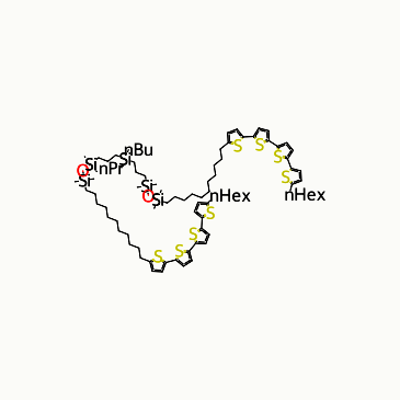 CCCCCCc1ccc(-c2ccc(-c3ccc(-c4ccc(CCCCCCCCCCC[Si](C)(C)O[Si](C)(C)CCC[Si](CCC)(CCCC)CCC[Si](C)(C)O[Si](C)(C)CCCCCCCCCCCc5ccc(-c6ccc(-c7ccc(-c8ccc(CCCCCC)s8)s7)s6)s5)s4)s3)s2)s1